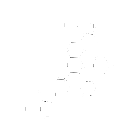 Cc1noc(C)c1-c1ccc2nc(N3CCN(CC(=O)N(C)C)CC3)nc(N3CCOC[C@@H]3c3ccccc3)c2c1